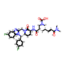 CN(C)C(=O)/C=C/CC[C@@H](CN(C)C(=O)O)C(=O)Nc1cccn(Cc2nc3cc(F)ccc3n2Cc2ccc(F)cc2)c1=O